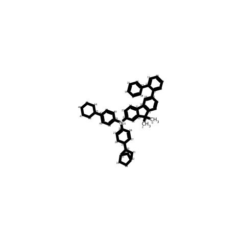 CC1(C)c2ccc(-c3ccccc3-c3ccccc3)cc2-c2ccc(N(C3=CCC(C4CC5CCC4C5)C=C3)c3ccc(C4CCCCC4)cc3)cc21